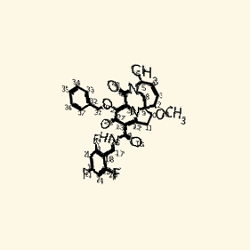 CO[C@H]1C=C[C@H](C)N2C[C@]13CCc1c(C(=O)NCc4c(F)cc(F)cc4F)c(=O)c(OCc4ccccc4)c(n13)C2=O